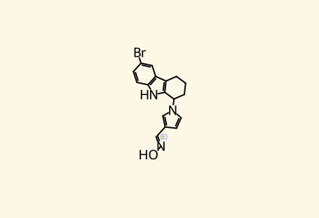 O/N=C/c1ccn(C2CCCc3c2[nH]c2ccc(Br)cc32)c1